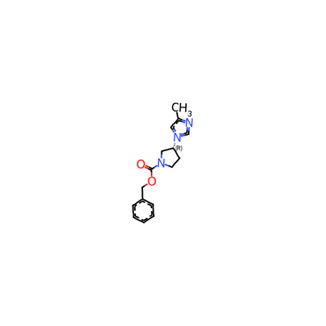 Cc1cn([C@@H]2CCN(C(=O)OCc3ccccc3)C2)cn1